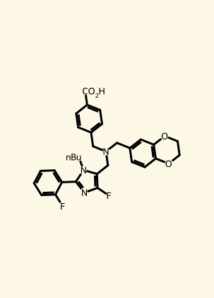 CCCCn1c(-c2ccccc2F)nc(F)c1CN(Cc1ccc(C(=O)O)cc1)Cc1ccc2c(c1)OCCO2